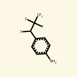 Nc1ccc(C(F)C(F)(F)C(F)(F)F)cc1